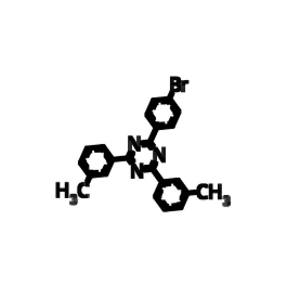 Cc1cccc(-c2nc(-c3ccc(Br)cc3)nc(-c3cccc(C)c3)n2)c1